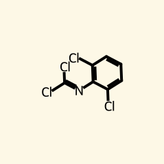 ClC(Cl)=Nc1c(Cl)cccc1Cl